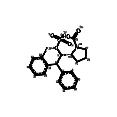 CS(=O)(=O)OC(C(c1ccccc1)c1ccccc1F)[C@H]1CCCN1C(=O)O